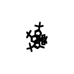 CC1=[C]([Zr]([Cl])([Cl])([C]2=CC(C(C)(C)C)=CC2C)([C]2=C(C)C=C(C(C)(C)C)C2)=[C](C)C)CC(C(C)(C)C)=C1